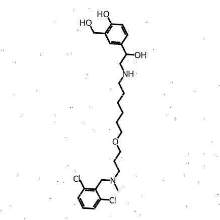 CN(CCCOCCCCCCNCC(O)c1ccc(O)c(CO)c1)Cc1c(Cl)cccc1Cl